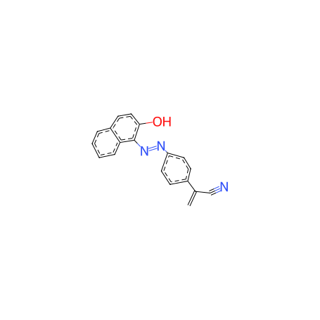 C=C(C#N)c1ccc(N=Nc2c(O)ccc3ccccc23)cc1